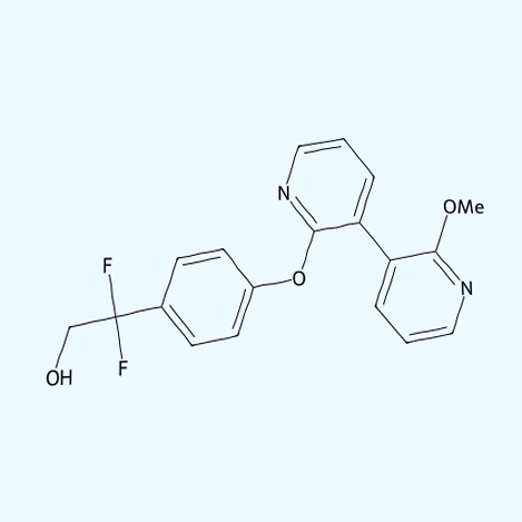 COc1ncccc1-c1cccnc1Oc1ccc(C(F)(F)CO)cc1